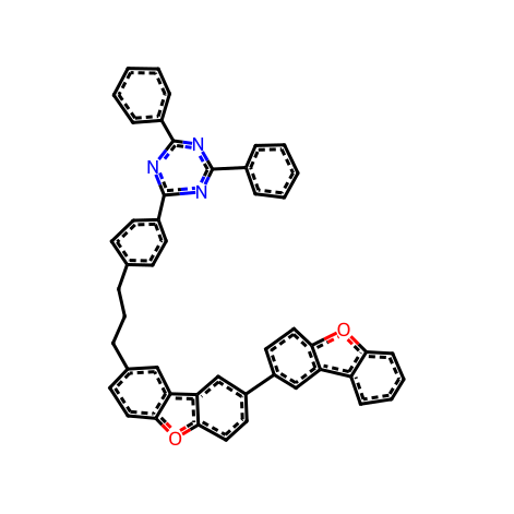 c1ccc(-c2nc(-c3ccccc3)nc(-c3ccc(CCCc4ccc5oc6ccc(-c7ccc8oc9ccccc9c8c7)cc6c5c4)cc3)n2)cc1